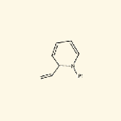 C=CC1C=CC=CN1C(C)C